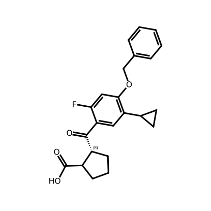 O=C(O)C1CCC[C@H]1C(=O)c1cc(C2CC2)c(OCc2ccccc2)cc1F